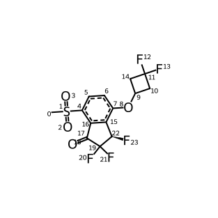 CS(=O)(=O)c1ccc(OC2CC(F)(F)C2)c2c1C(=O)C(F)(F)[C@@H]2F